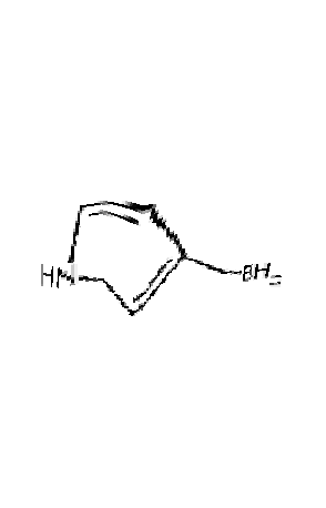 Bc1cc[nH]c1